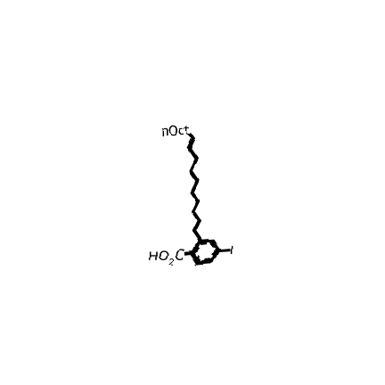 CCCCCCCCC=CCCCCCCCCc1cc(I)ccc1C(=O)O